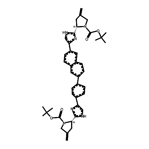 C=C1C[C@@H](c2nc(-c3ccc(-c4ccc5cc(-c6c[nH]c([C@@H]7CC(=C)CN7C(=O)OC(C)(C)C)n6)ccc5c4)cc3)c[nH]2)N(C(=O)OC(C)(C)C)C1